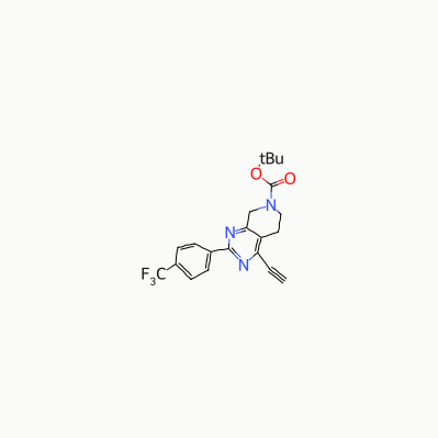 C#Cc1nc(-c2ccc(C(F)(F)F)cc2)nc2c1CCN(C(=O)OC(C)(C)C)C2